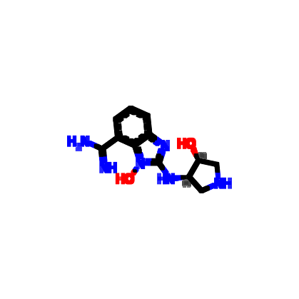 N=C(N)c1cccc2nc(N[C@@H]3CNC[C@@H]3O)n(O)c12